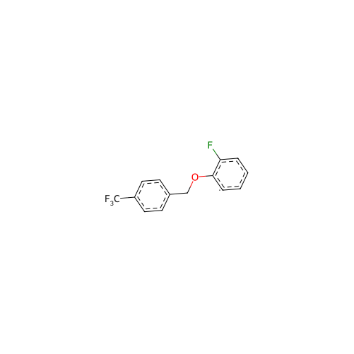 Fc1ccc[c]c1OCc1ccc(C(F)(F)F)cc1